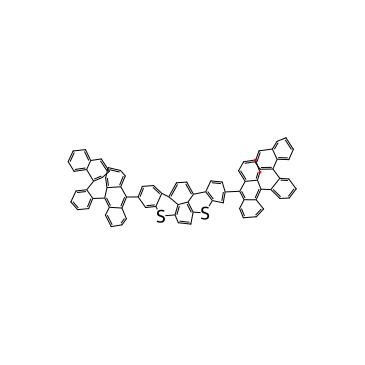 c1ccc(-c2c3ccccc3c(-c3ccc4c(c3)Sc3ccc5c6c(ccc-4c36)-c3ccc(-c4c6ccccc6c(-c6ccccc6-c6cccc7ccccc67)c6ccccc46)cc3S5)c3ccccc23)c(-c2cccc3ccccc23)c1